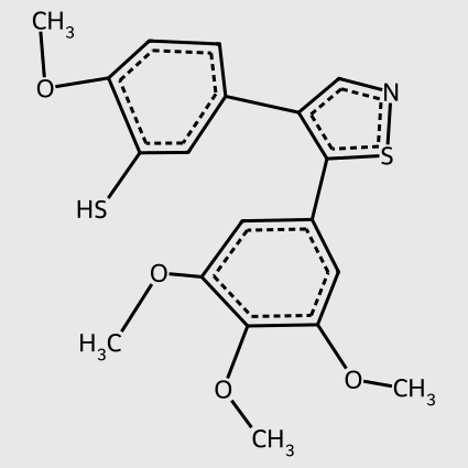 COc1ccc(-c2cnsc2-c2cc(OC)c(OC)c(OC)c2)cc1S